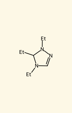 CCC1N(CC)C=NN1CC